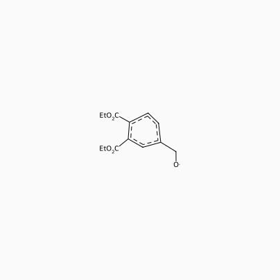 CCOC(=O)c1ccc(C[O])cc1C(=O)OCC